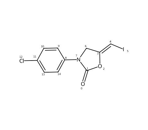 O=C1O/C(=C\I)CN1c1ccc(Cl)cc1